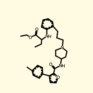 CCOC(=O)C(CC)Nc1ccccc1CCCN1CCC(NC(=O)c2occc2-c2ccc(C)cc2)CC1